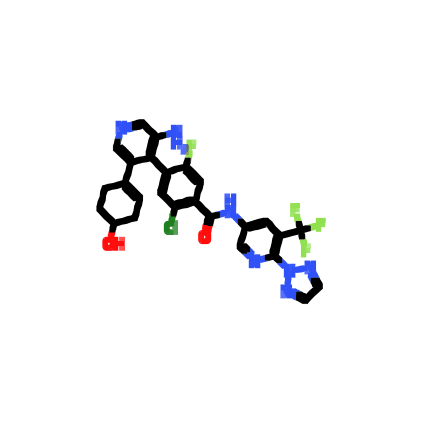 Nc1cncc(C2=CCC(O)CC2)c1-c1cc(Cl)c(C(=O)Nc2cnc(-n3nccn3)c(C(F)(F)F)c2)cc1F